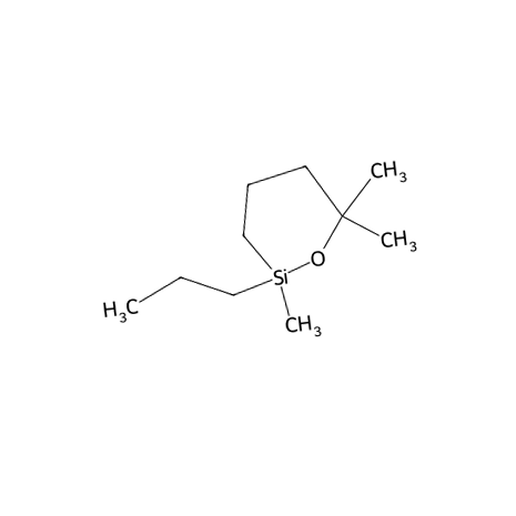 CCC[Si]1(C)CCCC(C)(C)O1